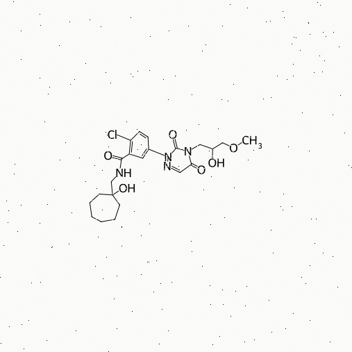 COCC(O)Cn1c(=O)cnn(-c2ccc(Cl)c(C(=O)NCC3(O)CCCCCC3)c2)c1=O